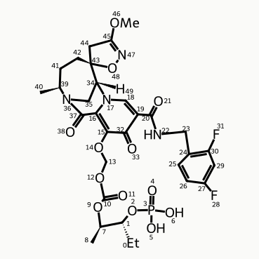 CC[C@@H](OP(=O)(O)O)[C@@H](C)OC(=O)OCOc1c2n(cc(C(=O)NCc3ccc(F)cc3F)c1=O)[C@@H]1CN(C2=O)[C@@H](C)CC[C@]12CC(OC)=NO2